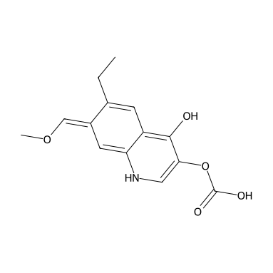 CCc1cc2c(cc1=COC)NC=C(OC(=O)O)C=2O